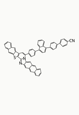 N#Cc1ccc(-c2ccc(-c3ccc(-c4ccc(-c5cc6c7cc8ccccc8cc7sc6c6nc7cc8cc9ccccc9cc8cc7n56)cc4)c4ccccc34)cc2)cc1